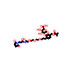 CC(C)C(=O)OCc1ccc(CCCOCCOCCOCCNC(O)CCN2C(=O)C=CC2=O)cc1O[C@@H]1O[C@H](C(=O)O)[C@@H](O)[C@H](O)[C@H]1O